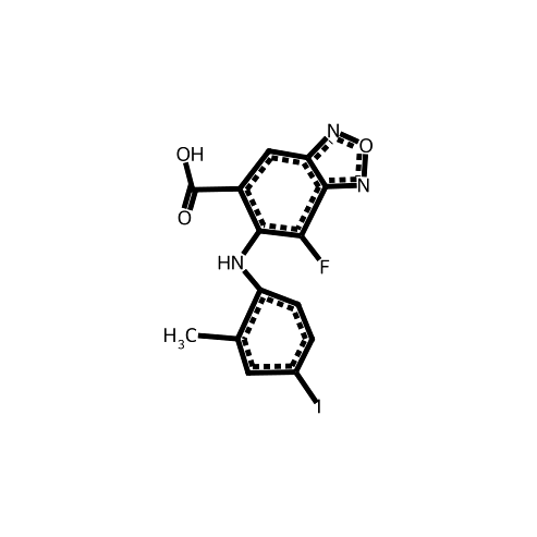 Cc1cc(I)ccc1Nc1c(C(=O)O)cc2nonc2c1F